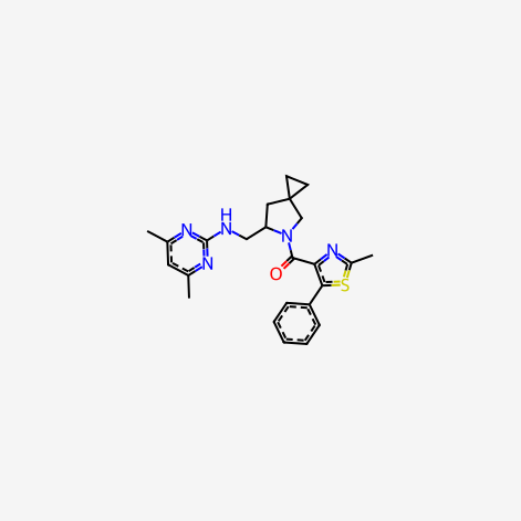 Cc1cc(C)nc(NCC2CC3(CC3)CN2C(=O)c2nc(C)sc2-c2ccccc2)n1